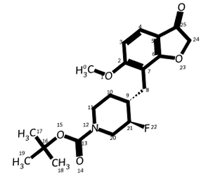 COc1ccc2c(c1C[C@H]1CCN(C(=O)OC(C)(C)C)C[C@@H]1F)OCC2=O